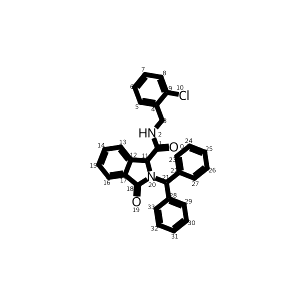 O=C(NCc1ccccc1Cl)C1c2ccccc2C(=O)N1C(c1ccccc1)c1ccccc1